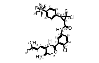 C=C(F)/C(=C\C=C(/C)F)NC(=O)c1cc(NC(=O)C2C(c3ccc(S(F)(F)(F)(F)F)cc3)C2(Cl)Cl)ccc1Cl